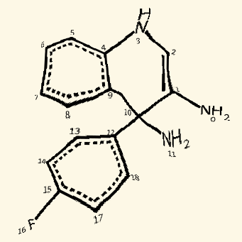 NC1=CNc2ccccc2C1(N)c1ccc(F)cc1